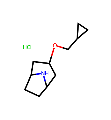 C1CC1COC1CC2CCC(C1)N2.Cl